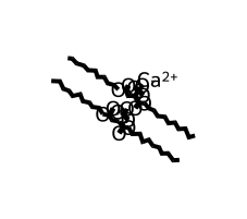 CCCCCCCCCCOC(=O)CC(C(=O)OCCCCCCCCCC)S(=O)(=O)[O-].CCCCCCCCCCOC(=O)CC(C(=O)OCCCCCCCCCC)S(=O)(=O)[O-].[Ca+2]